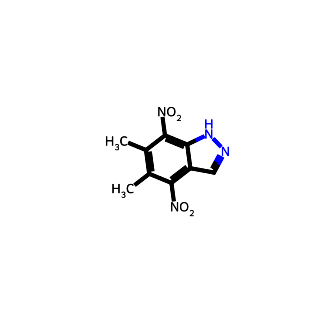 Cc1c(C)c([N+](=O)[O-])c2[nH]ncc2c1[N+](=O)[O-]